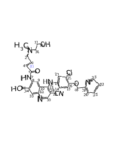 CN(C/C=C/C(=O)Nc1cc2c(Nc3ccc(OCc4ccccn4)c(Cl)c3)c(C#N)cnc2cc1O)CCO